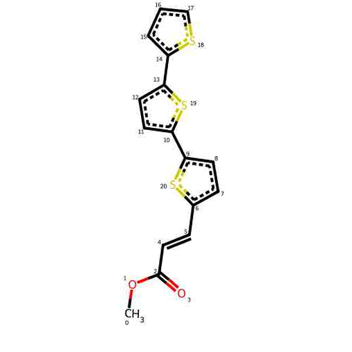 COC(=O)C=Cc1ccc(-c2ccc(-c3cccs3)s2)s1